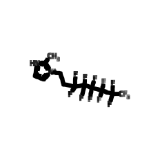 Cc1[nH]cc[n+]1CCC(F)(F)C(F)(F)C(F)(F)C(F)(F)C(F)(F)C(F)(F)F